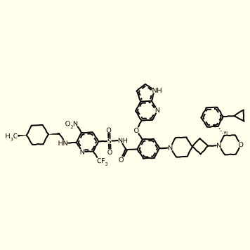 C[C@H]1CC[C@@H](CNc2nc(C(F)(F)F)c(S(=O)(=O)NC(=O)c3ccc(N4CCC5(CC4)CC(N4CCOC[C@H]4c4ccccc4C4CC4)C5)cc3Oc3cnc4[nH]ccc4c3)cc2[N+](=O)[O-])CC1